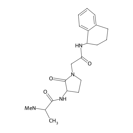 CNC(C)C(=O)NC1CCN(CC(=O)NC2CCCc3ccccc32)C1=O